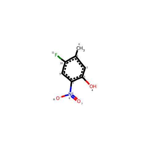 Cc1cc(O)c([N+](=O)[O-])cc1F